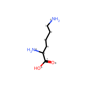 NCC[CH]CC(N)C(=O)O